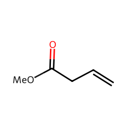 [CH]OC(=O)CC=C